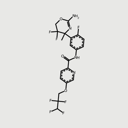 CC1(c2cc(NC(=O)c3ccc(OCC(F)(F)C(F)F)cn3)ccc2F)N=C(N)OCC1(F)F